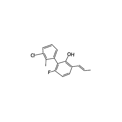 CC=Cc1ccc(F)c(-c2cccc(Cl)c2C)c1O